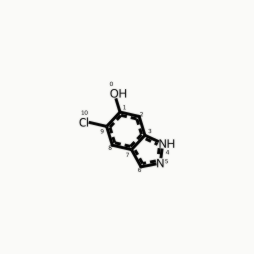 Oc1cc2[nH]ncc2cc1Cl